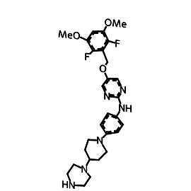 COc1cc(OC)c(F)c(COc2cnc(Nc3ccc(N4CCC(N5CCNCC5)CC4)cc3)nc2)c1F